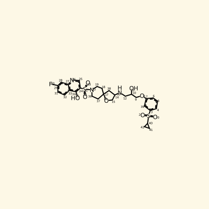 O=S(=O)(c1cccc(OCC(O)CNC2COC3(CCN(S(=O)(=O)c4cnc5cc(F)ccc5c4O)CC3)C2)c1)C1CC1